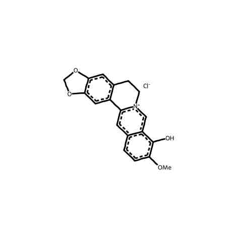 COc1ccc2cc3[n+](cc2c1O)CCc1cc2c(cc1-3)OCO2.[Cl-]